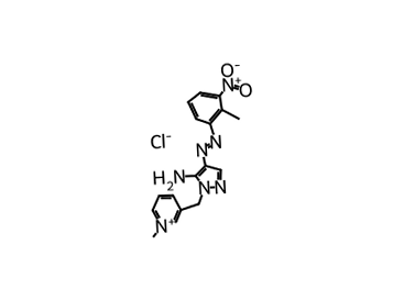 Cc1c(N=Nc2cnn(Cc3ccc[n+](C)c3)c2N)cccc1[N+](=O)[O-].[Cl-]